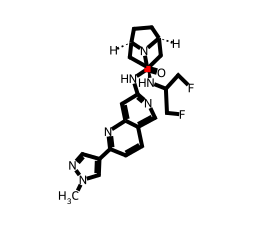 Cn1cc(-c2ccc3cnc(NC(=O)N4[C@@H]5CC[C@H]4C[C@@H](NC(CF)CF)C5)cc3n2)cn1